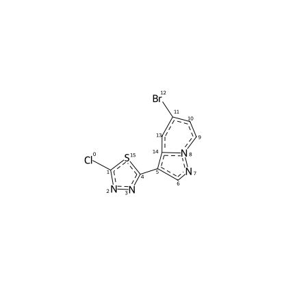 Clc1nnc(-c2cnn3ccc(Br)cc23)s1